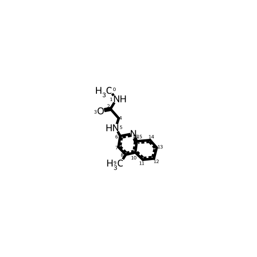 CNC(=O)CNc1cc(C)c2ccccc2n1